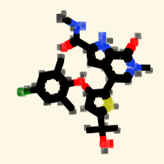 CCNC(=O)c1cc2c(-c3sc(C(C)(C)O)cc3Oc3c(C)cc(Cl)cc3C)cn(C)c(=O)c2[nH]1